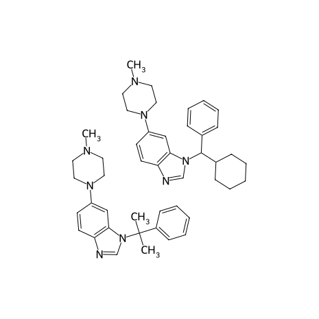 CN1CCN(c2ccc3ncn(C(C)(C)c4ccccc4)c3c2)CC1.CN1CCN(c2ccc3ncn(C(c4ccccc4)C4CCCCC4)c3c2)CC1